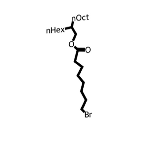 CCCCCCCCC(CCCCCC)COC(=O)CCCCCCCBr